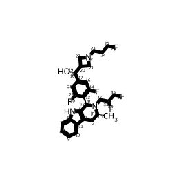 C[C@@H]1Cc2c([nH]c3ccccc23)[C@@H](c2c(F)cc([C@H](O)C3CN(CCCF)C3)cc2F)N1CC(F)CF